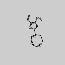 C=Cc1oc(/C2=C/C=C\C=C/CC2)cc1N